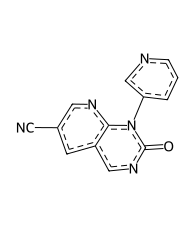 N#Cc1cnc2c(cnc(=O)n2-c2cccnc2)c1